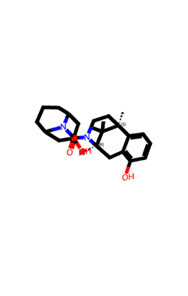 CC1(C)[C@H]2Cc3c(O)cccc3[C@]1(C)CCN2C(=O)N1C2CCCC1CC(O)C2